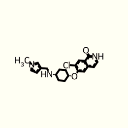 Cn1ccc(CN[C@H]2CC[C@@H](Oc3cc4cc[nH]c(=O)c4cc3Cl)CC2)c1